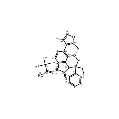 CCC1(c2ccccn2)COc2c(-c3c(C)noc3C)ccc3[nH]c(=O)n1c23.O=C(O)C(F)(F)F